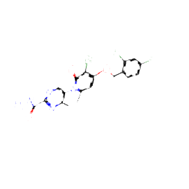 Cc1nc(C(N)=O)ncc1-n1c(C)cc(OCc2ccc(F)cc2F)c(Br)c1=O